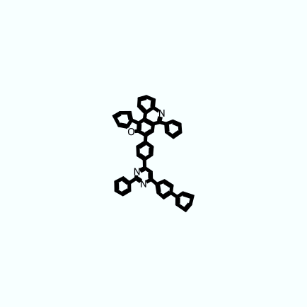 c1ccc(-c2ccc(-c3cc(-c4ccc(-c5cc6c(-c7ccccc7)nc7ccccc7c6c6c5oc5ccccc56)cc4)nc(-c4ccccc4)n3)cc2)cc1